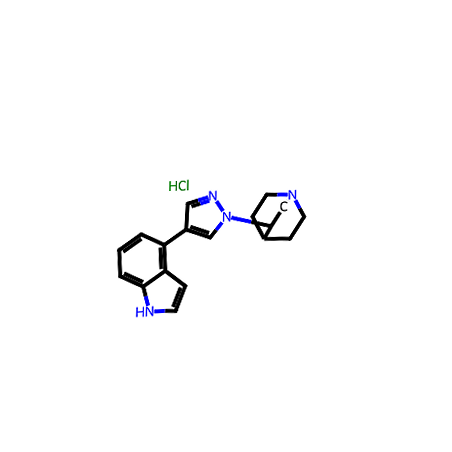 Cl.c1cc(-c2cnn(C3CN4CCC3CC4)c2)c2cc[nH]c2c1